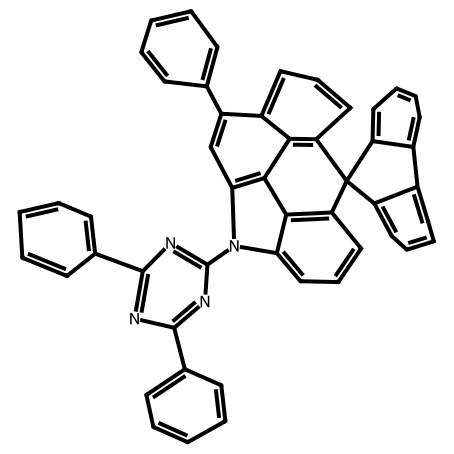 c1ccc(-c2nc(-c3ccccc3)nc(-n3c4cccc5c4c4c6c(cccc6c(-c6ccccc6)cc43)C53c4ccccc4-c4ccccc43)n2)cc1